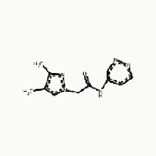 Cc1cn(CC(=O)Nc2ccnnc2)nc1C